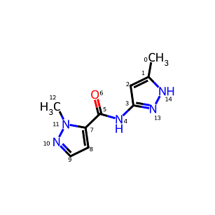 Cc1cc(NC(=O)c2ccnn2C)n[nH]1